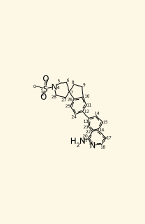 CS(=O)(=O)N1CCC2(CCc3cc(-c4ccc5ccnc(N)c5c4)ccc32)CC1